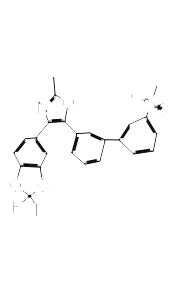 Cc1nc(-c2ccc3c(c2)OC(F)(F)O3)c(-c2cccc(-c3cccc(S(C)(=O)=O)c3)c2)o1